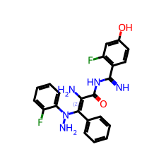 N=C(NC(=O)/C(N)=C(\c1ccccc1)N(N)c1ccccc1F)c1ccc(O)cc1F